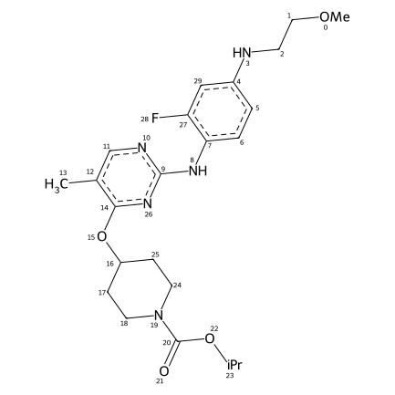 COCCNc1ccc(Nc2ncc(C)c(OC3CCN(C(=O)OC(C)C)CC3)n2)c(F)c1